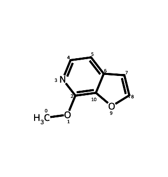 COc1nccc2c[c]oc12